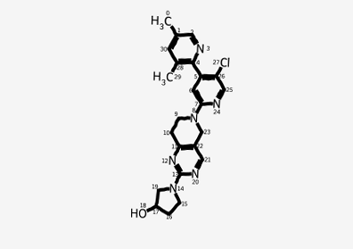 Cc1cnc(-c2cc(N3CCc4nc(N5CCC(O)C5)ncc4C3)ncc2Cl)c(C)c1